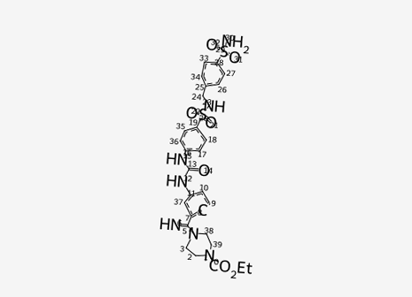 CCOC(=O)N1CCN(C(=N)c2cccc(NC(=O)Nc3ccc(S(=O)(=O)NCc4ccc(S(N)(=O)=O)cc4)cc3)c2)CC1